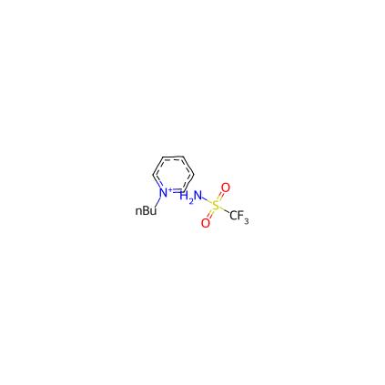 CCCC[n+]1ccccc1.NS(=O)(=O)C(F)(F)F